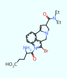 CCN(CC)C(=O)C1C=C2c3cccc4c3c(c(Br)n4C(=O)C(N)CCC(=O)O)CN2C1